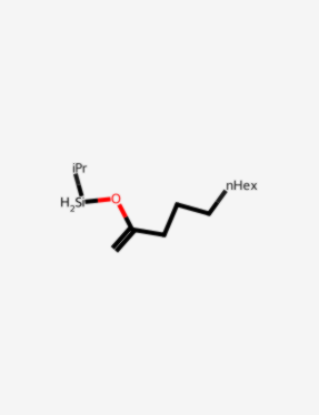 C=C(CCCCCCCCC)O[SiH2]C(C)C